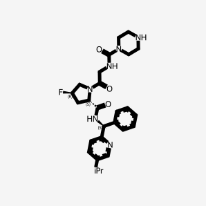 CC(C)c1ccc([C@@H](NC(=O)[C@@H]2C[C@@H](F)CN2C(=O)CNC(=O)N2CCNCC2)c2ccccc2)nc1